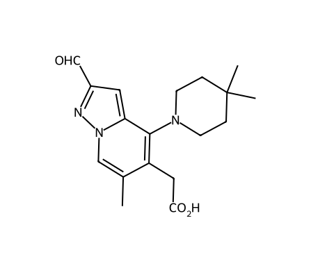 Cc1cn2nc(C=O)cc2c(N2CCC(C)(C)CC2)c1CC(=O)O